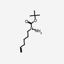 C=CCCCCN(N)C(=O)OC(C)(C)C